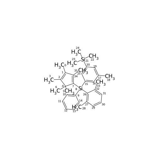 CC1=C(C)C(C)(C)C([Si](c2ccccc2)(c2cc(C)cc([Si](C)(C)C)c2)c2c(C)cccc2C)=C1C